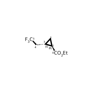 CCOC(=O)[C@@H]1C[C@H]1CC(F)(F)F